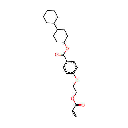 C=CC(=O)OCCOc1ccc(C(=O)OC2CCC(C3CCCCC3)CC2)cc1